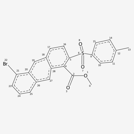 COC(=O)c1c(S(=O)(=O)c2ccc(C)cc2)ccc2cc3c(Br)cccc3cc12